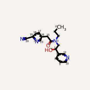 CCCN(CC(O)c1cccnc1)C(=O)Cc1ccc(C#N)nc1